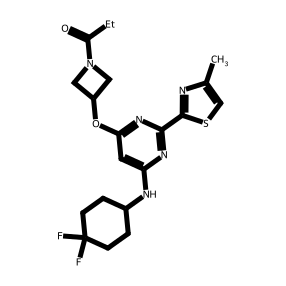 CCC(=O)N1CC(Oc2cc(NC3CCC(F)(F)CC3)nc(-c3nc(C)cs3)n2)C1